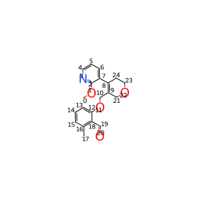 COc1ncccc1C1=C(COc2cccc(C)c2C=O)COCC1